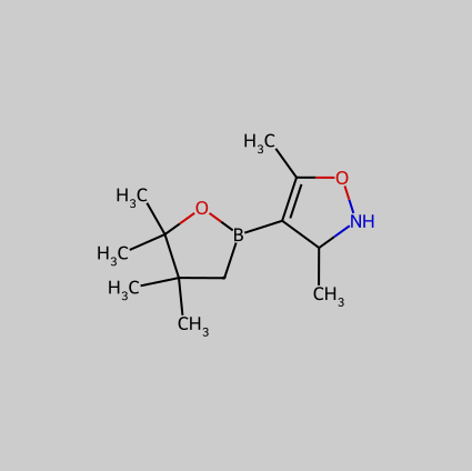 CC1=C(B2CC(C)(C)C(C)(C)O2)C(C)NO1